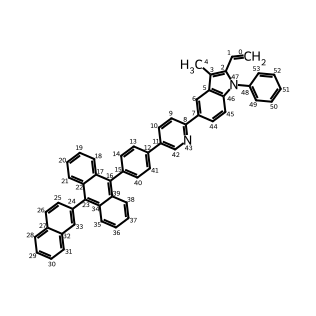 C=Cc1c(C)c2cc(-c3ccc(-c4ccc(-c5c6ccccc6c(-c6ccc7ccccc7c6)c6ccccc56)cc4)cn3)ccc2n1-c1ccccc1